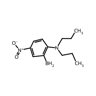 Bc1cc([N+](=O)[O-])ccc1N(CCC)CCC